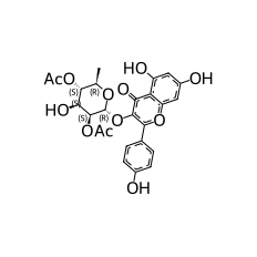 CC(=O)O[C@@H]1[C@@H](Oc2c(-c3ccc(O)cc3)oc3cc(O)cc(O)c3c2=O)O[C@H](C)[C@@H](OC(C)=O)[C@@H]1O